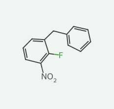 O=[N+]([O-])c1cccc(Cc2ccccc2)c1F